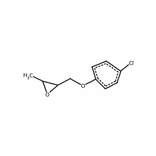 CC1OC1COc1ccc(Cl)cc1